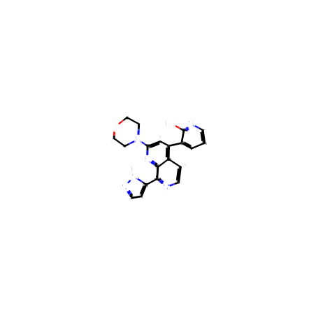 Oc1ncccc1-c1cc(N2CCOCC2)nc2c(-c3ccn[nH]3)nccc12